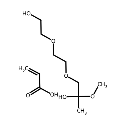 C=CC(=O)O.COC(C)(O)COCCOCCO